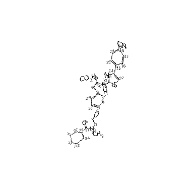 CN(CCOc1ccc(C[C@H](Nc2nc(-c3ccc(C#N)cc3)cs2)C(=O)O)cc1)C(=O)C1CCCCC1